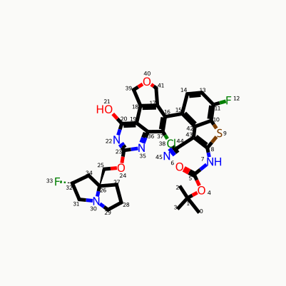 CC(C)(C)OC(=O)Nc1sc2c(F)ccc(-c3c4c(c5c(O)nc(OC[C@@]67CCCN6C[C@H](F)C7)nc5c3Cl)COC4)c2c1C#N